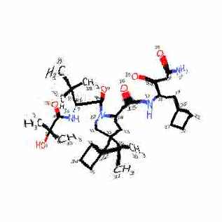 CC(C)(O)C(=O)N[C@@H](C(=O)N1CC2(CC1C(=O)NC(CC1CCC1)C(=O)C(N)=O)C(C)(C)C21CCC1)C(C)(C)C